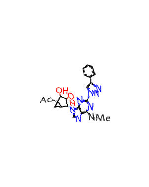 CNc1nc(-n2cc(-c3ccccc3)nn2)nc2c1ncn2[C@@H]1C2C[C@]2(C(C)=O)C(O)[C@H]1O